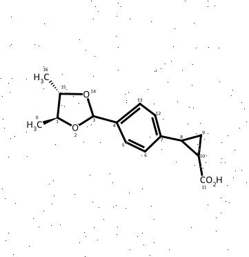 C[C@@H]1OC(c2ccc(C3CC3C(=O)O)cc2)O[C@H]1C